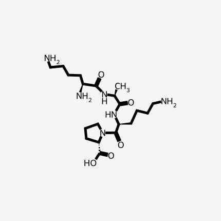 C[C@H](NC(=O)[C@@H](N)CCCCN)C(=O)N[C@@H](CCCCN)C(=O)N1CCC[C@H]1C(=O)O